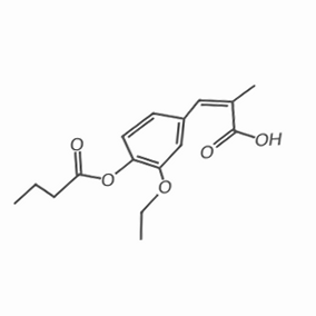 CCCC(=O)Oc1ccc(C=C(C)C(=O)O)cc1OCC